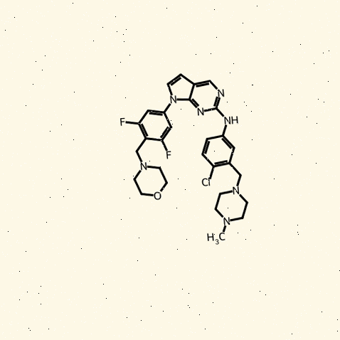 CN1CCN(Cc2cc(Nc3ncc4ccn(-c5cc(F)c(CN6CCOCC6)c(F)c5)c4n3)ccc2Cl)CC1